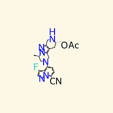 CC(=O)OC[C@@H]1Cc2c(nn3c2CN(c2ccc(C#N)n4ncc(F)c24)C[C@H]3C)CN1